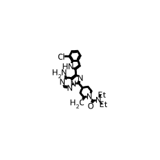 C=C1CC(c2nc(-c3cc4cccc(Cl)c4[nH]3)c3c(N)ncnn23)CCN1C(=O)N(CC)CC